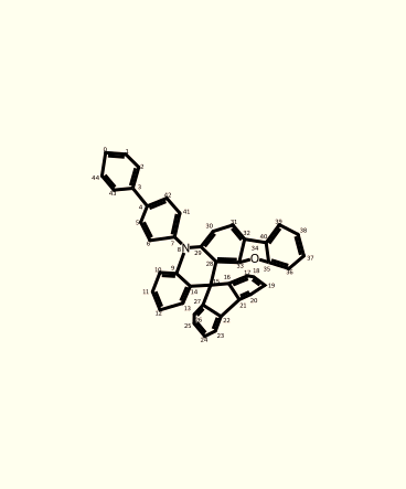 c1ccc(-c2ccc(N3c4ccccc4C4(c5ccccc5-c5ccccc54)c4c3ccc3c4oc4ccccc43)cc2)cc1